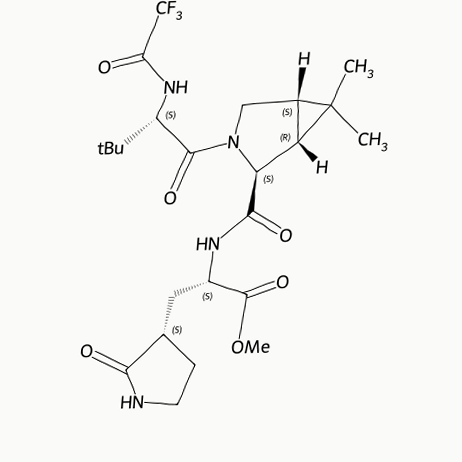 COC(=O)[C@H](C[C@@H]1CCNC1=O)NC(=O)[C@@H]1[C@@H]2[C@H](CN1C(=O)[C@@H](NC(=O)C(F)(F)F)C(C)(C)C)C2(C)C